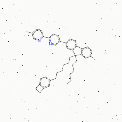 CCCCCCC1(CCCCCCc2ccc3c(c2)CC3)c2cc(C)ccc2-c2ccc(-c3ccc(-c4ccc(C)cn4)nc3)cc21